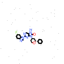 O=c1[nH]c2cnc(-n3cnc4ccc(F)cc43)nc2n1[C@@H]1CCO[C@@H](c2ccccc2)C1